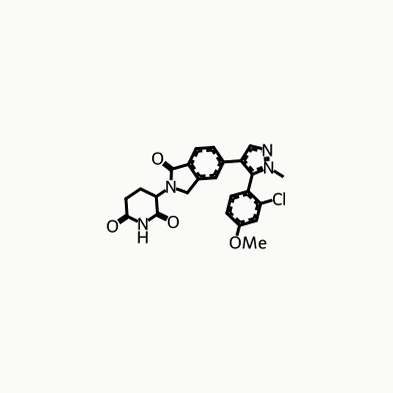 COc1ccc(-c2c(-c3ccc4c(c3)CN(C3CCC(=O)NC3=O)C4=O)cnn2C)c(Cl)c1